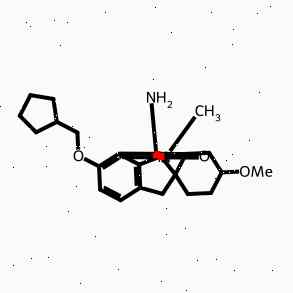 COC1CCC2(CC1)Cc1ccc(OCC3CCCC3)cc1C21N=C(N)N(C)C1=O